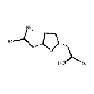 CCC(N)C[C@H]1CC[C@@H](CC(N)CC)O1